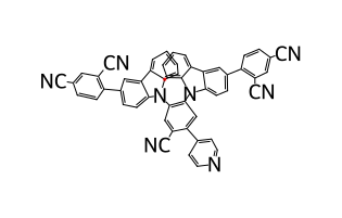 N#Cc1ccc(-c2ccc3c(c2)c2ccccc2n3-c2cc(C#N)c(-c3ccncc3)cc2-n2c3ccccc3c3cc(-c4ccc(C#N)cc4C#N)ccc32)c(C#N)c1